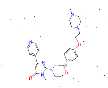 CN1CCN(CCOc2ccc([C@H]3CN(c4nc(-c5ccncc5)cc(=O)n4C)CCO3)cc2)CC1